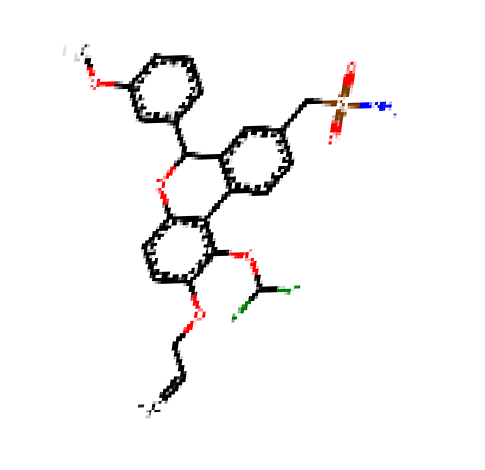 C=CCOc1ccc2c(c1OC(F)F)-c1ccc(CS(N)(=O)=O)cc1C(c1cccc(OC)c1)O2